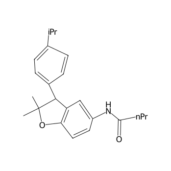 CCCC(=O)Nc1ccc2c(c1)C(c1ccc(C(C)C)cc1)C(C)(C)O2